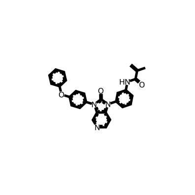 C=C(C)C(=O)Nc1cccc(-n2c(=O)n(-c3ccc(Oc4ccccc4)cc3)c3cnccc32)c1